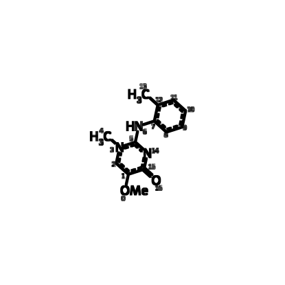 COc1cn(C)c(Nc2ccccc2C)nc1=O